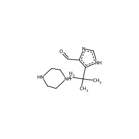 C1CNCCN1.CC(C)(C)c1[nH]cnc1C=O